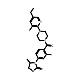 CCc1cnc(N2CCN(C(=O)c3ccc(N4C(=O)OCC4C)cc3F)CC2)c(C)c1